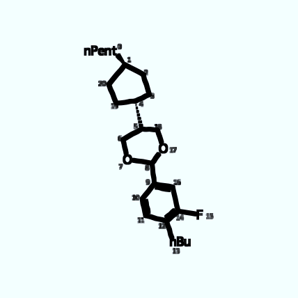 CCCCC[C@H]1CC[C@H](C2COC(c3ccc(CCCC)c(F)c3)OC2)CC1